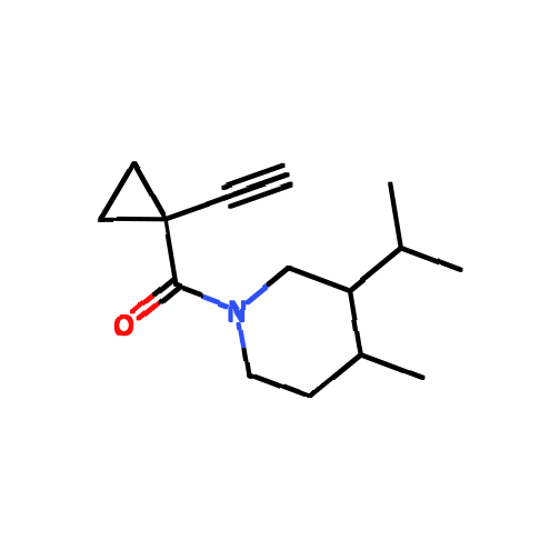 C#CC1(C(=O)N2CCC(C)C(C(C)C)C2)CC1